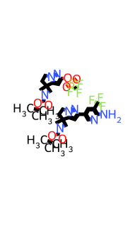 CC(C)(C)OC(=O)N1CC2(CCn3nc(-c4cnc(N)c(C(F)(F)F)c4)cc32)C1.CC(C)(C)OC(=O)N1CC2(CCn3nc(OS(=O)(=O)C(F)(F)F)cc32)C1